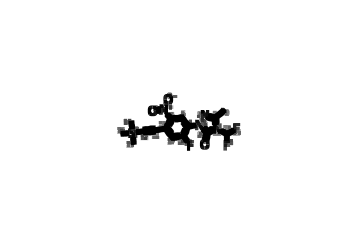 Cc1nn(-c2cc([N+](=O)[O-])c(C#C[Si](C)(C)C)cc2F)c(=O)n1C(F)F